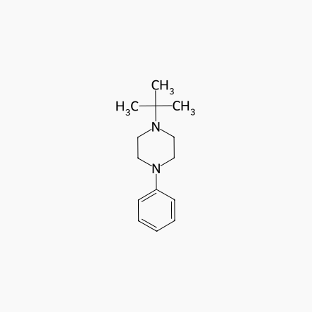 CC(C)(C)N1CCN(c2ccccc2)CC1